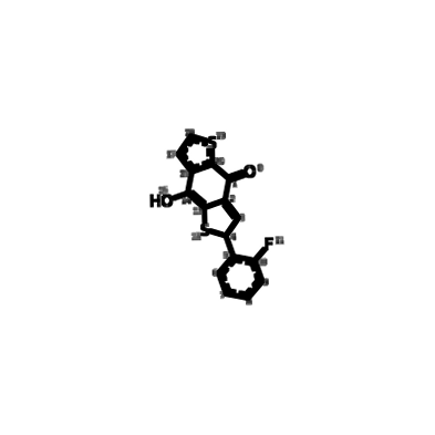 O=C1C2=CC(c3ccccc3F)SC2=C(O)c2ccsc21